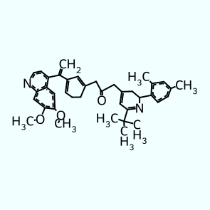 C=C(C1=CCCC(CC(=O)CC2=CC(C(C)(C)C)=NC(c3ccc(C)cc3C)C2)=C1)c1ccnc2cc(OC)c(OC)cc12